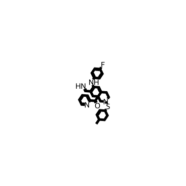 CC1C=CC(SN2CCC3=CC(Nc4ccc(F)cc4)=C(C=N)CC3(C(=O)c3ccccn3)C2)CC1